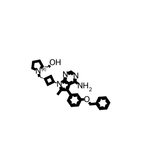 Cc1c(-c2cccc(OCc3ccccc3)c2)c2c(N)ncnc2n1[C@H]1C[C@@H](CN2CCC[C@@H]2CO)C1